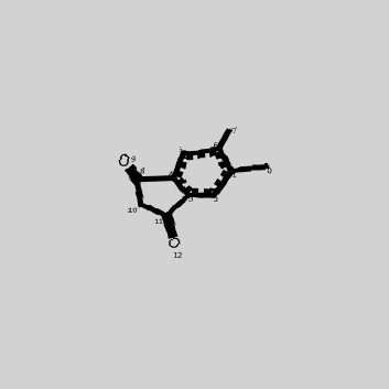 Cc1cc2c(cc1C)C(=O)CC2=O